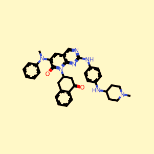 CN1CCC(Nc2ccc(Nc3ncc4cc(N(C)c5ccccc5)c(=O)n(C5CC(=O)c6ccccc6C5)c4n3)cc2)CC1